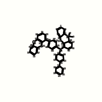 C[Si]1(C)c2ccccc2Sc2c(N(c3ccc(-c4ccccc4)cc3)c3ccc(-c4cccc5c4Sc4ccccc4O5)cc3)cccc21